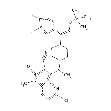 CN(c1c(C#N)c(=O)n(C)c2ccc(Cl)nc12)C1CCC(/C(=N/OC(C)(C)C)c2ccc(F)c(F)c2)CC1